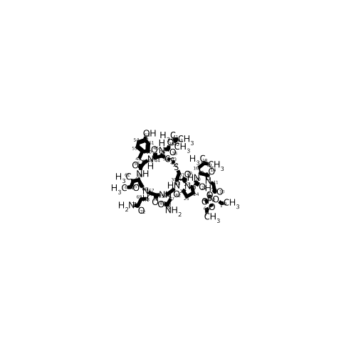 CCOP(=O)(OCC)OC(=O)CNC(=O)[C@H](CC(C)C)NC(=O)[C@@H]1CCCN1C(=O)[C@@H]1CSSC[C@H](NC(=O)OC(C)(C)C)C(=O)N[C@@H](Cc2ccc(O)cc2)C(=O)N[C@@H]([C@@H](C)CC)C(=O)N[C@@H](CCC(N)=O)C(=O)N[C@@H](CC(N)=O)C(=O)N1